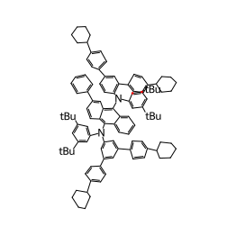 CC(C)(C)c1cc(N(c2cc(-c3ccc(C4CCCCC4)cc3)cc(-c3ccc(C4CCCCC4)cc3)c2)c2c3ccccc3c(N(c3cc(C(C)(C)C)cc(C(C)(C)C)c3)c3ccc(-c4ccc(C5CCCCC5)cc4)cc3-c3ccc(C4CCCCC4)cc3)c3cc(-c4ccccc4)ccc23)cc(C(C)(C)C)c1